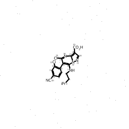 CC(C)CCNc1c(-c2ccc(C#N)cc2Cl)c(Cl)nc2c(C(=O)O)cnn12